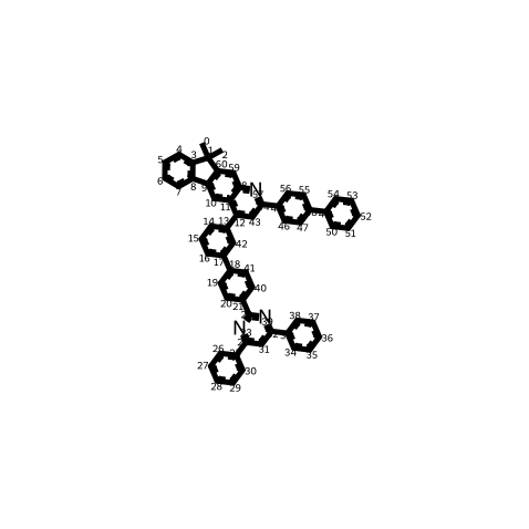 CC1(C)c2ccccc2-c2cc3c(-c4cccc(-c5ccc(-c6nc(-c7ccccc7)cc(-c7ccccc7)n6)cc5)c4)cc(-c4ccc(-c5ccccc5)cc4)nc3cc21